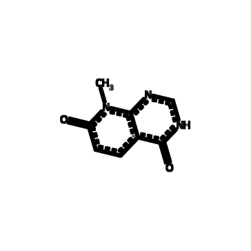 Cn1c(=O)ccc2c(=O)[nH]cnc21